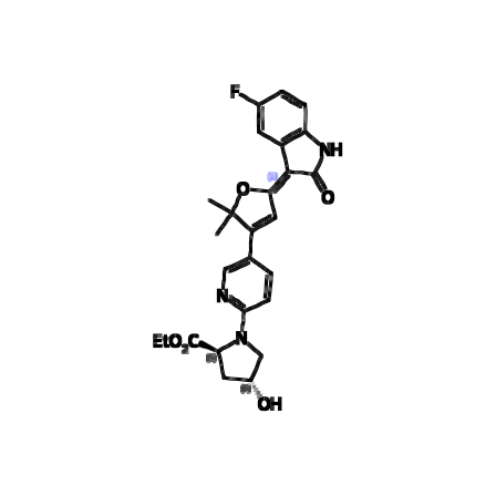 CCOC(=O)[C@@H]1C[C@@H](O)CN1c1ccc(C2=C/C(=C3\C(=O)Nc4ccc(F)cc43)OC2(C)C)cn1